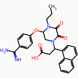 CCCN1C(=O)C(=O)N(C(CC(=O)O)c2cccc3ccccc23)CC1Oc1ccc(C(=N)N)cc1